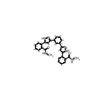 CNC(=O)c1ccccc1-c1cc(-c2cccc(-c3cc(-c4ccccc4C(=O)NC)[nH]n3)c2)n[nH]1